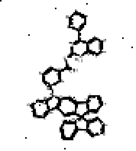 N=C(/N=c1/nc(-c2ccccc2)c2ccccc2[nH]1)c1cccc(-n2c3ccccc3c3cc4c(cc32)-c2ccccc2C42c3ccccc3-c3ccccc32)c1